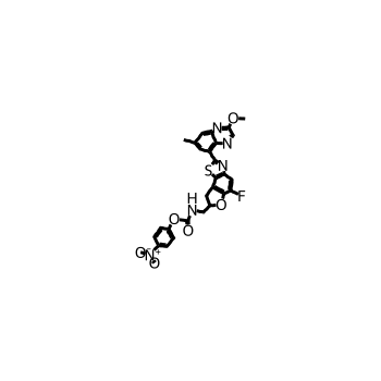 COc1cnc2c(-c3nc4cc(F)c5c(c4s3)CC(CNC(=O)Oc3ccc([N+](=O)[O-])cc3)O5)cc(C)cc2n1